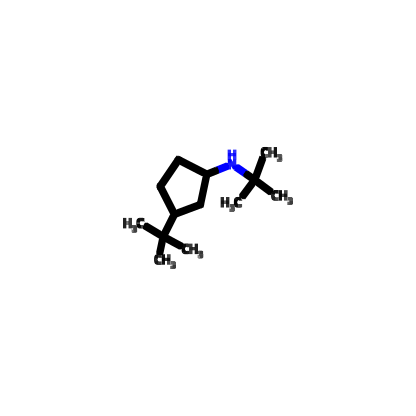 CC(C)(C)NC1CCC(C(C)(C)C)C1